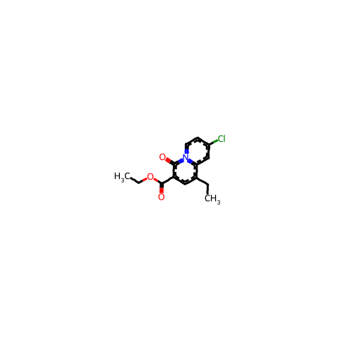 CCOC(=O)c1cc(CC)c2cc(Cl)ccn2c1=O